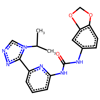 CC(C)n1cnnc1-c1cccc(NC(=O)Nc2ccc3c(c2)OCO3)n1